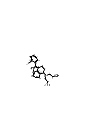 OCCN(CCO)C1CCc2c(-c3ccccc3F)[nH]c3cccc1c23